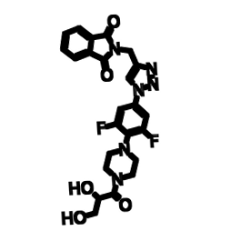 O=C(C(O)CO)N1CCN(c2c(F)cc(-n3cc(CN4C(=O)c5ccccc5C4=O)nn3)cc2F)CC1